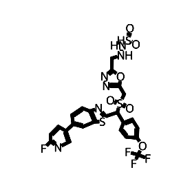 O=[SH](=O)NNCc1nnc(CS(=O)(=O)C(c2ccc(OC(F)(F)F)cc2)c2nc3ccc(-c4ccc(F)nc4)cc3s2)o1